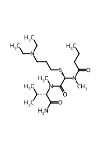 CCCC(=O)N(C)[C@H](SCCCN(CC)CC)C(=O)N(C)[C@H](C(N)=O)C(C)C